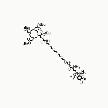 Cc1cc(C)c(NC(=O)CC[C@H](N)C(=O)NCCOCCOCCOCCOCCOCCNC(=O)CCC(C(=O)OC(C)(C)C)N2CCN(CC(=O)OC(C)(C)C)CCN(CC(=O)OC(C)(C)C)CCN(CC(=O)OC(C)(C)C)CC2)c(C)c1Br